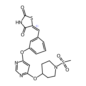 CS(=O)(=O)N1CCC(Oc2cc(Oc3cccc(/C=C4/SC(=O)NC4=O)c3)ncn2)CC1